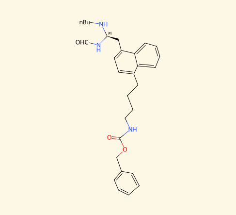 CCCCN[C@@H](Cc1ccc(CCCCNC(=O)OCc2ccccc2)c2ccccc12)NC=O